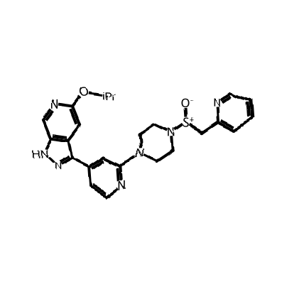 CC(C)Oc1cc2c(-c3ccnc(N4CCN([S+]([O-])Cc5ccccn5)CC4)c3)n[nH]c2cn1